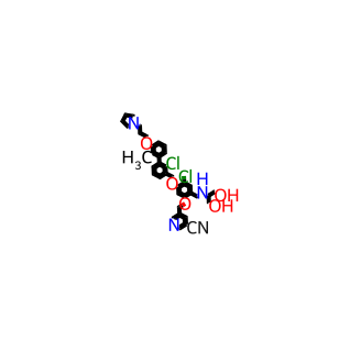 Cc1c(OCCCN2CCCC2)cccc1-c1cccc(COc2cc(OCc3cncc(C#N)c3)c(CNC(CO)CO)cc2Cl)c1Cl